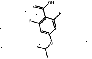 CC(C)Oc1cc(F)c(C(=O)O)c(F)c1